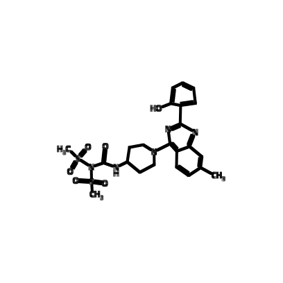 Cc1ccc2c(N3CCC(NC(=O)N(S(C)(=O)=O)S(C)(=O)=O)CC3)nc(-c3ccccc3O)nc2c1